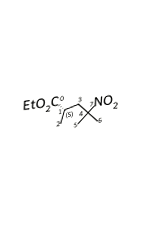 CCOC(=O)[C@@H](C)CC(C)(C)[N+](=O)[O-]